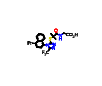 CC(C)c1ccc(-n2c(SC(C)(C)C(=O)NCC(=O)O)nnc2C(F)(F)F)c2ccccc12